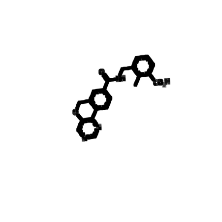 Cc1c(CNC(=O)c2ccc3c(c2)COc2cncnc2-3)cccc1C(=O)O